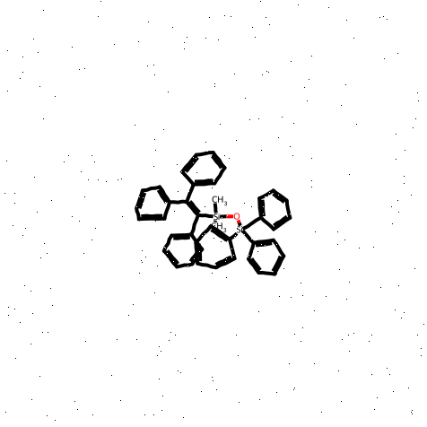 C[Si](C)(O[Si](c1ccccc1)(c1ccccc1)c1ccccc1)C(=C(c1ccccc1)c1ccccc1)c1ccccc1